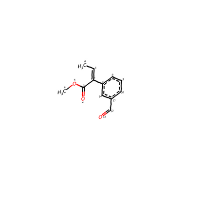 CC=C(C(=O)OC)c1cccc(C=O)c1